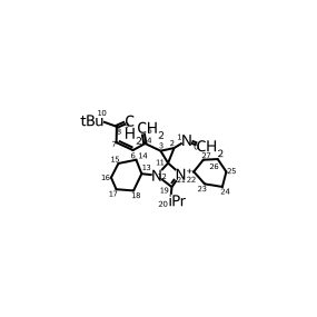 C=NC1C(C(=C)/C=C\C(=C)C(C)(C)C)C12N(C1CCCCC1)C(C(C)C)=[N+]2C1CCCCC1